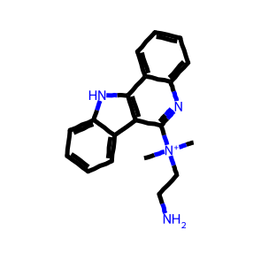 C[N+](C)(CCN)c1nc2ccccc2c2[nH]c3ccccc3c12